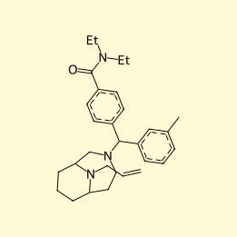 C=CCN1C2CCCC1CN(C(c1ccc(C(=O)N(CC)CC)cc1)c1cccc(C)c1)CC2